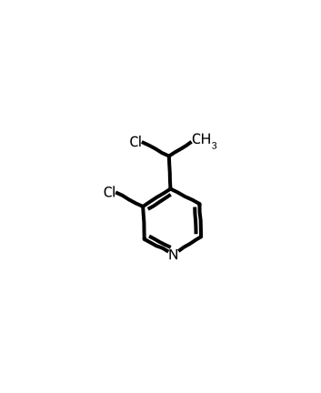 CC(Cl)c1ccncc1Cl